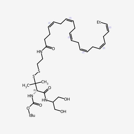 CC/C=C\C/C=C\C/C=C\C/C=C\C/C=C\C/C=C\CCC(=O)NCCSSC(C)(C)[C@@H](NC(=O)OC(C)(C)C)C(=O)NC(CO)CO